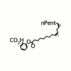 CCCCC/C=C\C/C=C\CCCCCCCC(=O)Oc1ccccc1C(=O)O